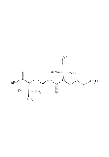 C#CC(C)(C)N(CCCC(=O)O)C(=O)CCCN(C(=O)CCC)C(C)(C)CC